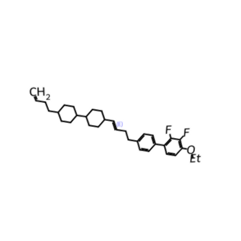 C=CCCC1CCC(C2CCC(/C=C/CCc3ccc(-c4ccc(OCC)c(F)c4F)cc3)CC2)CC1